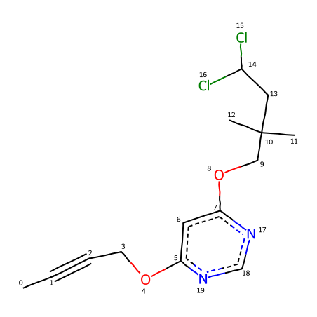 CC#CCOc1cc(OCC(C)(C)CC(Cl)Cl)ncn1